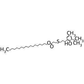 CCCCCCCCCCCCCCCCCCOC(=O)CCSCCCc1cc(C)cc(C(C)C)c1O